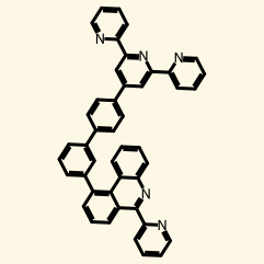 c1ccc(-c2cc(-c3ccc(-c4cccc(-c5cccc6c(-c7ccccn7)nc7ccccc7c56)c4)cc3)cc(-c3ccccn3)n2)nc1